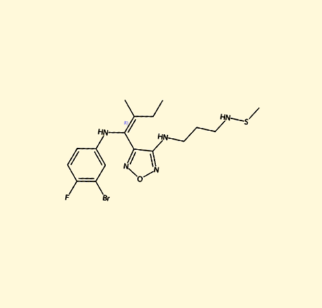 CC/C(C)=C(/Nc1ccc(F)c(Br)c1)c1nonc1NCCCNSC